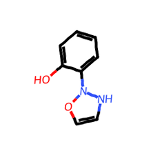 Oc1ccccc1N1NC=CO1